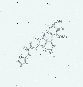 COc1cc(/C=C2/C(C)=C(CC(=O)N(C)Cc3ccco3)c3cc(F)ccc32)cc(OC)c1C